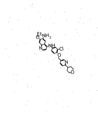 CCOc1cc2nccc(Nc3ccc(OCc4ccc(C5CCOCC5)nc4)c(Cl)c3)c2cc1N